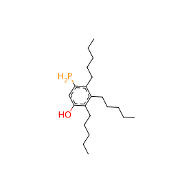 CCCCCc1c(O)cc(P)c(CCCCC)c1CCCCC